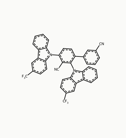 N#Cc1cccc(-c2ccc(-n3c4ccccc4c4cc(C(F)(F)F)ccc43)c(C#N)c2-n2c3ccccc3c3cc(C(F)(F)F)ccc32)c1